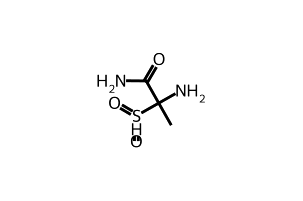 CC(N)(C(N)=O)[SH](=O)=O